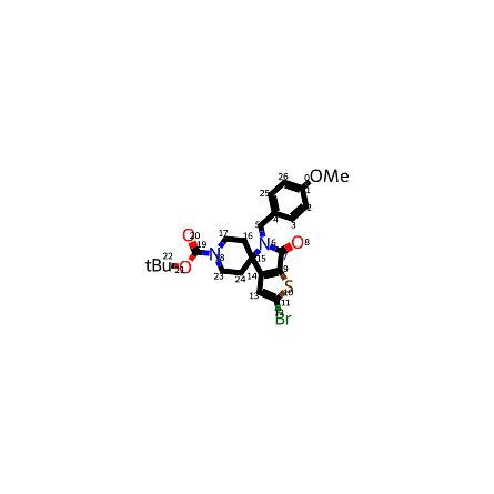 COc1ccc(CN2C(=O)c3sc(Br)cc3C23CCN(C(=O)OC(C)(C)C)CC3)cc1